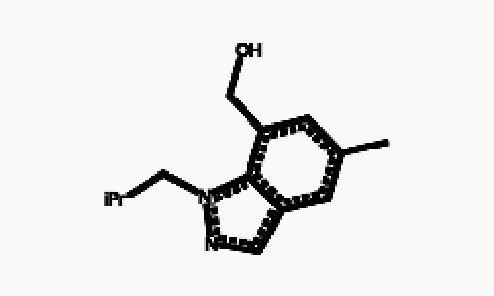 Cc1cc(CO)c2c(cnn2CC(C)C)c1